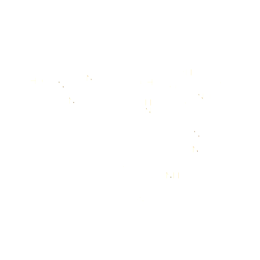 [2H]C([2H])([2H])NC(=O)c1nnc(NC2(C=C)COC2)cc1Nc1cccc(-c2ncn(C)n2)c1OC